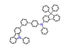 c1ccc(N(c2ccc(-c3cccc(-c4ccc5c6ccccc6n(-c6ccccc6)c5c4)c3)cc2)c2ccc3c(c2)-c2ccccc2C3(c2ccccc2)c2ccccc2)cc1